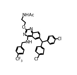 CC(=O)NCCOc1nc(NCc2ccc(C(F)(F)F)cc2)c2cc(C(c3ccc(Cl)cc3)c3ccc(Cl)cc3)ccc2n1